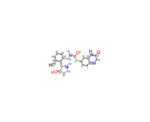 CN(C(=O)Cc1ccc2ncc(=O)[nH]c2c1)[C@H](CN1CCC(O)C1)c1cccc(C#N)c1